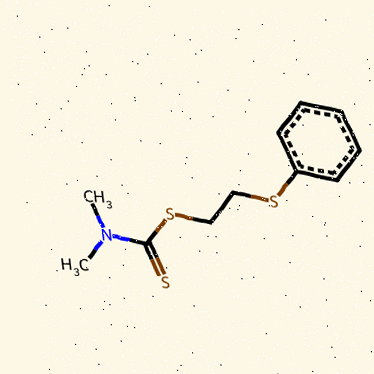 CN(C)C(=S)SCCSc1ccccc1